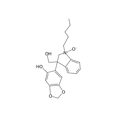 CCCCC[N+]1([O-])CC(CO)(c2cc3c(cc2O)OCO3)c2ccccc21